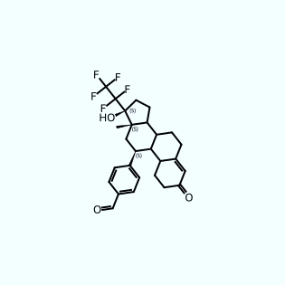 C[C@]12C[C@H](c3ccc(C=O)cc3)C3C4CCC(=O)C=C4CCC3C1CC[C@@]2(O)C(F)(F)C(F)(F)F